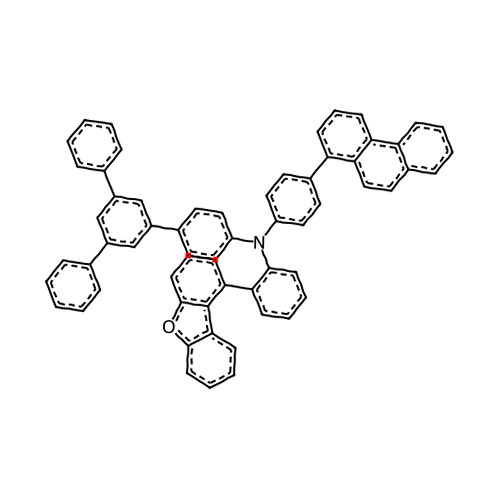 c1ccc(-c2cc(-c3ccccc3)cc(-c3ccc(N(c4ccc(-c5cccc6c5ccc5ccccc56)cc4)c4ccccc4-c4cccc5oc6ccccc6c45)cc3)c2)cc1